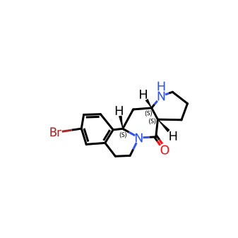 O=C1[C@H]2CCCN[C@H]2C[C@H]2c3ccc(Br)cc3CCN12